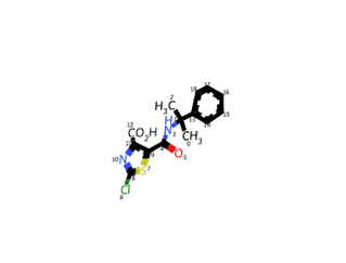 CC(C)(NC(=O)c1sc(Cl)nc1C(=O)O)c1ccccc1